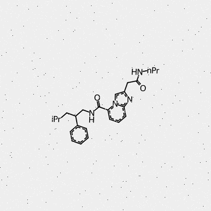 CCCNC(=O)Cc1cn2c(C(=O)NCC(CC(C)C)c3ccccc3)cccc2n1